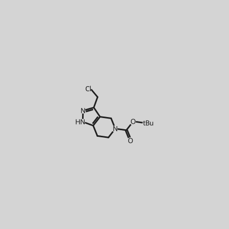 CC(C)(C)OC(=O)N1CCc2[nH]nc(CCl)c2C1